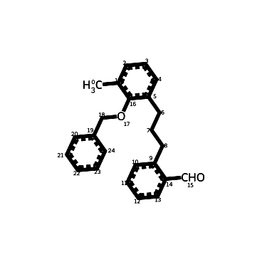 Cc1cccc(CCCc2ccccc2C=O)c1OCc1ccccc1